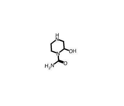 NC(=O)N1CCNCC1O